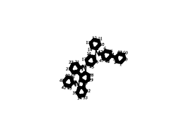 c1ccc(-c2ccc(N(c3ccccc3)c3ccc(-n4c5ccccc5c5c4ccc4c6ccccc6n(-c6ccccc6)c45)cc3)cc2)cc1